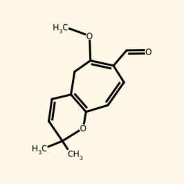 COC1=C(C=O)C=CC2=C(C=CC(C)(C)O2)C1